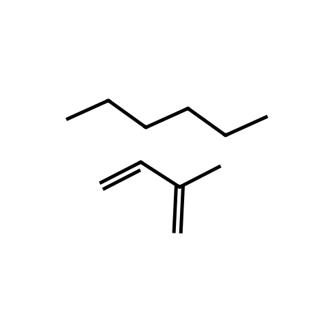 C=CC(=C)C.CCCCCC